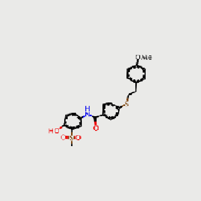 COc1ccc(CCSc2ccc(C(=O)Nc3ccc(O)c(S(C)(=O)=O)c3)cc2)cc1